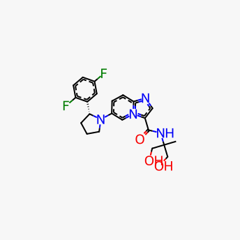 CC(CO)(CO)NC(=O)c1cnc2ccc(N3CCC[C@@H]3c3cc(F)ccc3F)cn12